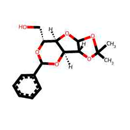 CC1(C)OC2O[C@H]3[C@H](OC(c4ccccc4)O[C@@H]3CO)[C@H]2O1